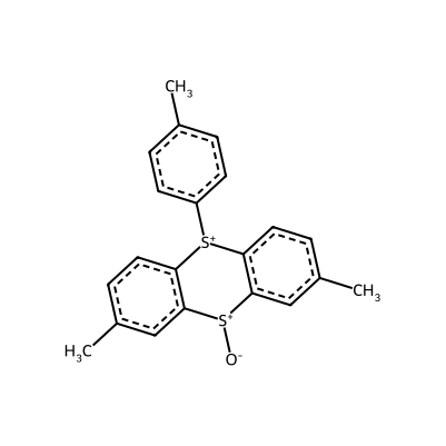 Cc1ccc([S+]2c3ccc(C)cc3[S+]([O-])c3cc(C)ccc32)cc1